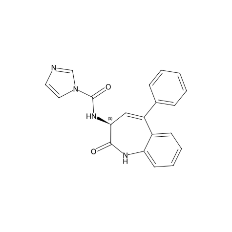 O=C1Nc2ccccc2C(c2ccccc2)=C[C@@H]1NC(=O)n1ccnc1